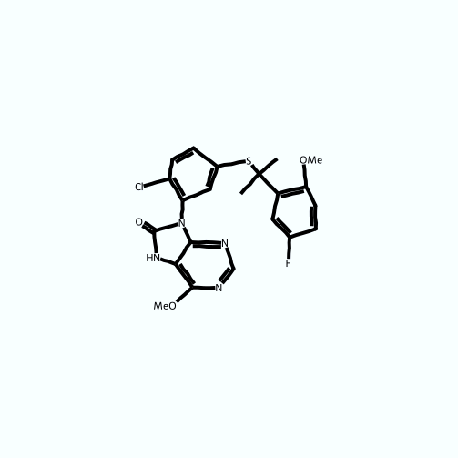 COc1ccc(F)cc1C(C)(C)Sc1ccc(Cl)c(-n2c(=O)[nH]c3c(OC)ncnc32)c1